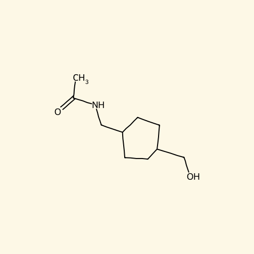 CC(=O)NCC1CCC(CO)CC1